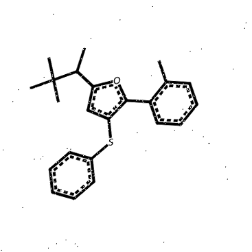 C[C](c1cc(Sc2ccccc2)c(-c2ccccc2C)o1)C(C)(C)C